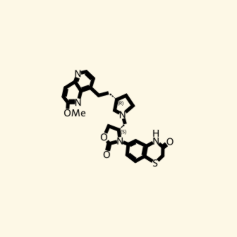 COc1ccc2nccc(CC[C@@H]3CCN(C[C@H]4COC(=O)N4c4ccc5c(c4)NC(=O)CS5)C3)c2n1